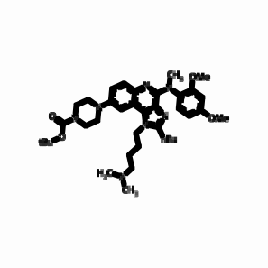 CCCCc1nc2c(N(C)c3ccc(OC)cc3OC)nc3ccc(N4CCN(C(=O)OC(C)(C)C)CC4)cc3c2n1CCCCN(C)C